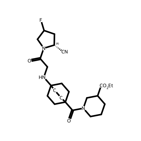 CCOC(=O)C1CCCN(C(=O)C23CCC(NCC(=O)N4CC(F)C[C@@H]4C#N)(CC2)CC3)C1